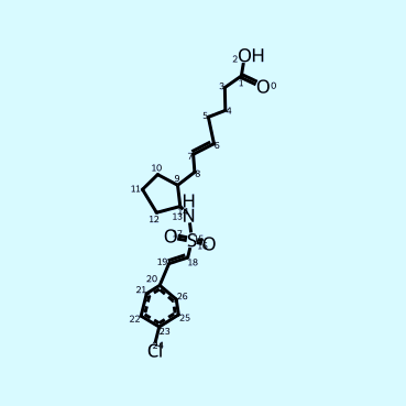 O=C(O)CCC/C=C/CC1CCCC1NS(=O)(=O)/C=C/c1ccc(Cl)cc1